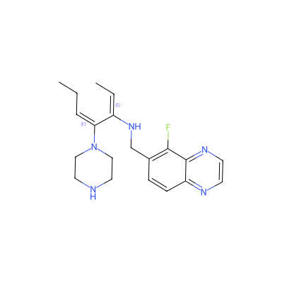 C/C=C(NCc1ccc2nccnc2c1F)\C(=C/CC)N1CCNCC1